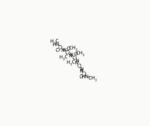 CCNc1ccc(N=Nc2ccc(N=Nc3cc(OC)c(N=Nc4cc(OC)c(N=Nc5ccc(NCC)c6ccccc56)cc4C)cc3C)cc2)c2ccccc12